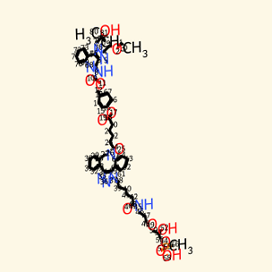 CCOCc1nc2c(NC(=O)OCc3ccc(OC(=O)CCCCC(=O)N4Cc5ccccc5-c5nnn(CCCCCC(=O)NCCCOCC(O)COP(C)(=O)O)c5-c5ccccc54)cc3)nc3ccccc3c2n1CC(C)(C)O